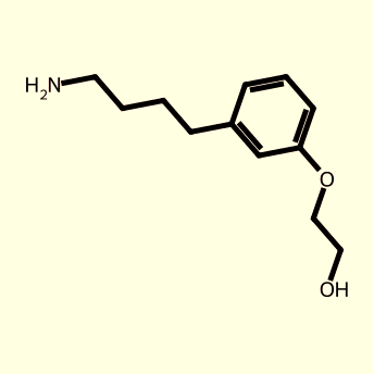 NCCCCc1cccc(OCCO)c1